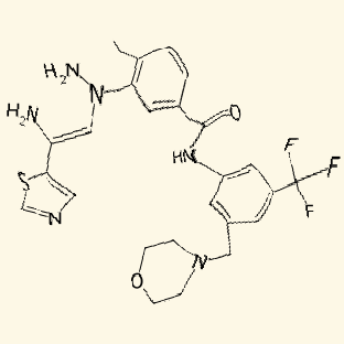 Cc1ccc(C(=O)Nc2cc(CN3CCOCC3)cc(C(F)(F)F)c2)cc1N(N)/C=C(\N)c1cncs1